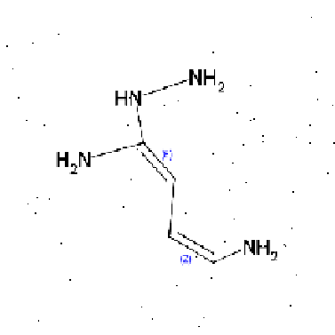 N/C=C\C=C(/N)NN